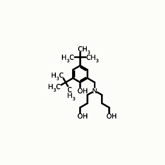 CC(C)(C)c1cc(CN(CCCO)CCCO)c(O)c(C(C)(C)C)c1